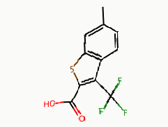 Cc1ccc2c(C(F)(F)F)c(C(=O)O)sc2c1